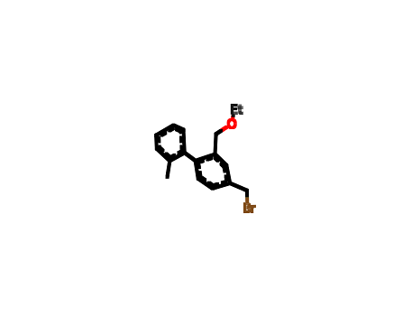 CCOCc1cc(CBr)ccc1-c1ccccc1C